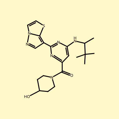 CC(Nc1cc(C(=O)N2CCC(O)CC2)nc(-c2cnn3ccsc23)n1)C(C)(C)C